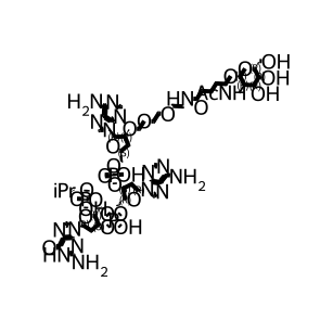 CC(=O)N[C@H]1[C@H](OCCCCC(=O)NCCOCCOCO[C@@H]2C[C@@H](COP(=O)(O)O[C@H]3C[C@H](n4cnc5c(N)ncnc54)O[C@@H]3COP(=O)(O)O[C@H]3C[C@H](n4cnc5c(=O)[nH]c(N)nc54)O[C@@H]3COP(=O)(O)OC(C)C)O[C@H]2n2cnc3c(N)ncnc32)O[C@H](CO)[C@H](O)[C@@H]1O